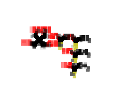 CC(O)=S.CC(O)=S.CC(O)=S.CC(O)=S.OCC(CO)(CO)CO